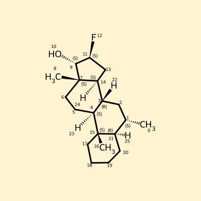 C[C@H]1C[C@@H]2[C@H](CC[C@]3(C)[C@H](O)[C@@H](F)C[C@@H]23)[C@@]2(C)CCCC[C@H]12